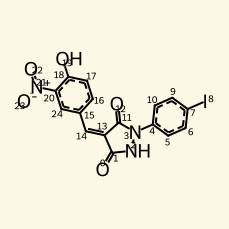 O=C1NN(c2ccc(I)cc2)C(=O)/C1=C\c1ccc(O)c([N+](=O)[O-])c1